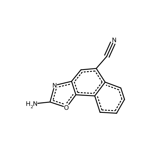 N#Cc1cc2nc(N)oc2c2ccccc12